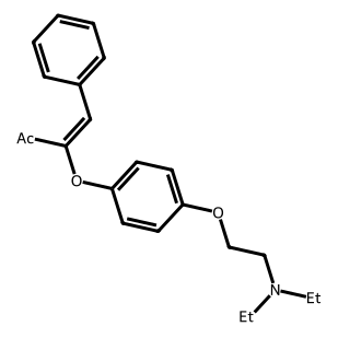 CCN(CC)CCOc1ccc(OC(=Cc2ccccc2)C(C)=O)cc1